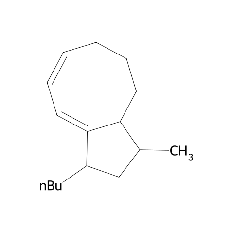 CCCCC1CC(C)C2CCCC=CC=C12